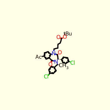 CC(=O)c1ccc2c(c1)C(=O)N([C@H](C)c1ccc(Cl)cc1)[C@@H](c1ccc(Cl)cc1)C(=O)N2CCCCC(=O)OC(C)(C)C